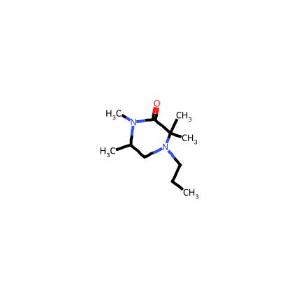 CCCN1CC(C)N(C)C(=O)C1(C)C